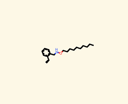 C=Cc1ccccc1CNOCCCCCCCCCC